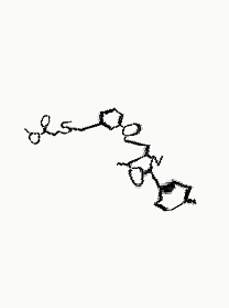 COC(=O)CSCc1cccc(OCCC2N=C(c3ccc(C)cc3)OC2C)c1